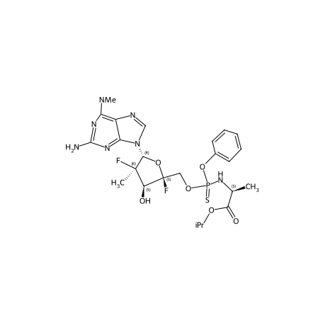 CNc1nc(N)nc2c1ncn2[C@@H]1O[C@](F)(COP(=S)(N[C@@H](C)C(=O)OC(C)C)Oc2ccccc2)[C@@H](O)[C@@]1(C)F